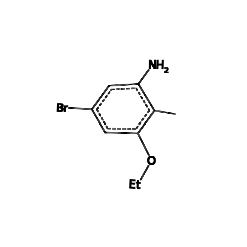 CCOc1cc(Br)cc(N)c1C